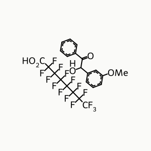 COc1cccc(C(O)C(=O)c2ccccc2)c1.O=C(O)C(F)(F)C(F)(F)C(F)(F)C(F)(F)C(F)(F)C(F)(F)C(F)(F)F